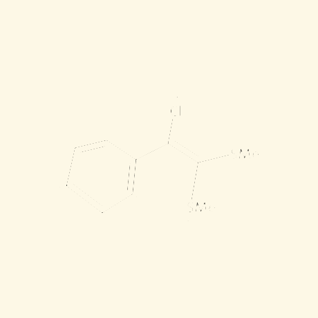 CSC(SC)=C(Cl)c1ccccc1